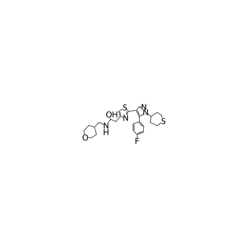 OC(Cc1csc(-c2cnn(C3CCSCC3)c2-c2ccc(F)cc2)n1)NCC1CCOCC1